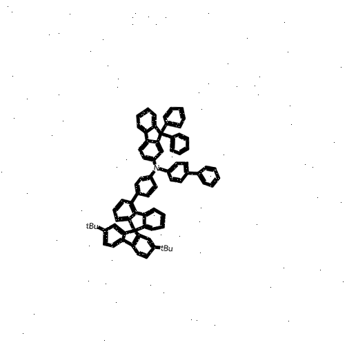 CC(C)(C)c1ccc2c(c1)C1(c3cc(C(C)(C)C)ccc3-2)c2ccccc2-c2c(-c3ccc(N(c4ccc(-c5ccccc5)cc4)c4ccc5c(c4)C(c4ccccc4)(c4ccccc4)c4ccccc4-5)cc3)cccc21